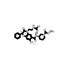 CCC(=O)NCCN1C(=O)[C@](C)(c2ccccc2)Oc2cc(C(F)(F)F)c(C(=O)N(C(C)C)[C@@H]3CCCN(C(=O)OC(C)(C)C)C3)cc21